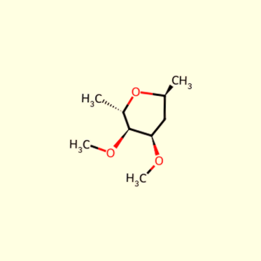 CO[C@H]1[C@H](C)O[C@@H](C)C[C@H]1OC